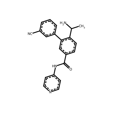 CC(N)c1ccc(C(=O)Nc2ccncc2)cc1-c1cccc(C#N)c1